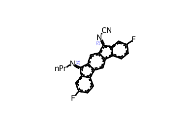 CCC/N=c1\c2cc(F)ccc2c2cc3c(cc12)/c(=N/C#N)c1cc(F)ccc13